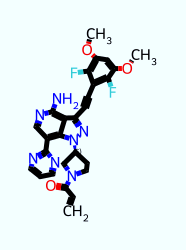 C=CC(=O)N1CC[C@H](n2nc(C#Cc3c(F)c(OC)cc(OC)c3F)c3c(N)ncc(-c4ncccn4)c32)C1